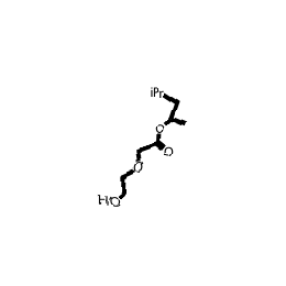 CC(C)CC(C)OC(=O)COCCO